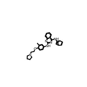 Cc1cc(Nc2nc(NC3=CC4C=CC3C4)c3ccccc3n2)ccc1OCCN1CCCC1